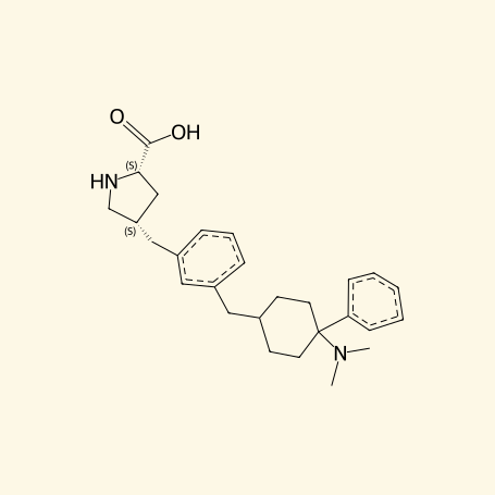 CN(C)C1(c2ccccc2)CCC(Cc2cccc(C[C@@H]3CN[C@H](C(=O)O)C3)c2)CC1